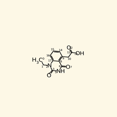 CCn1c(=O)[nH]c(=O)c2c(CC(=O)O)cccc21